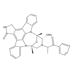 CO[C@@H]1N(C(C)C(=O)c2ccccc2)C[C@@]2(C)O[C@]1(C)n1c3ccccc3c3c4c(c5c6ccccc6n2c5c31)C(=O)NC4